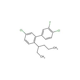 CCCC(CC)c1ccc(Cl)cc1-c1ccc(Cl)c(F)c1